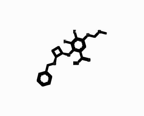 COCOc1cc(C(=O)O)c(O[C@@H]2CC[C@@H]2OCc2ccccc2)c(F)c1F